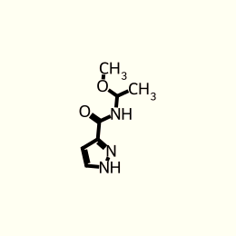 COC(C)NC(=O)c1cc[nH]n1